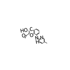 Cc1ccc(Nc2cccc(C(=O)O)c2OCC2CO2)nc1